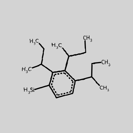 CCC(C)c1ccc([SiH3])c(C(C)CC)c1C(C)CC